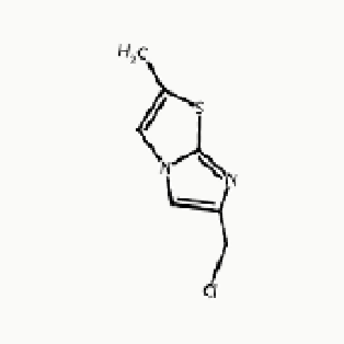 Cc1cn2cc(CCl)nc2s1